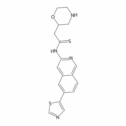 S=C(CC1CNCCO1)Nc1cc2cc(-c3cncs3)ccc2cn1